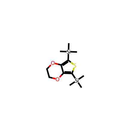 C[Si](C)(C)c1sc([Si](C)(C)C)c2c1OCCO2